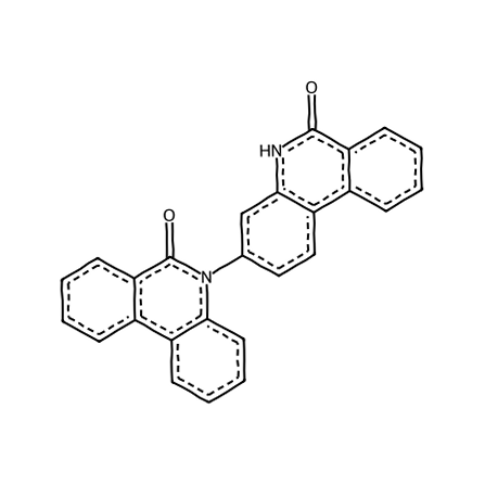 O=c1[nH]c2cc(-n3c(=O)c4ccccc4c4ccccc43)ccc2c2ccccc12